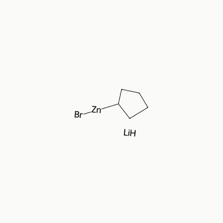 [Br][Zn][CH]1CCCC1.[LiH]